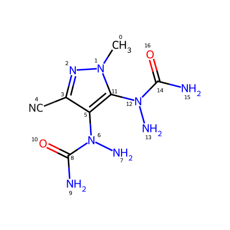 Cn1nc(C#N)c(N(N)C(N)=O)c1N(N)C(N)=O